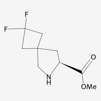 COC(=O)[C@@H]1CC2(CN1)CC(F)(F)C2